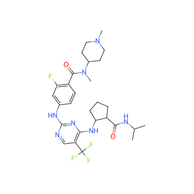 CC(C)NC(=O)C1CCCC1Nc1nc(Nc2ccc(C(=O)N(C)C3CCN(C)CC3)c(F)c2)ncc1C(F)(F)F